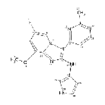 COc1cc(F)cn2c(-c3ccnc(C)n3)c(Nc3cc[nH]n3)nc12